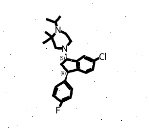 CC(C)N1CCN([C@H]2C[C@H](c3ccc(F)cc3)c3ccc(Cl)cc32)CC1(C)C